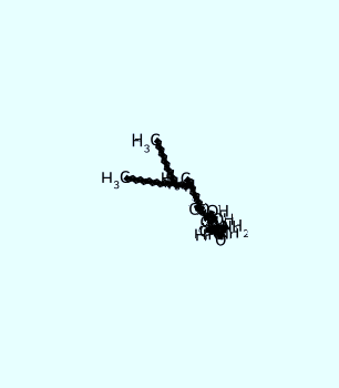 CCCCCCCCCCCCN(CCCCCCCCCCCC)CCCN(CC)CCCCCC(=O)OC[C@@H]1O[C@H](n2c(=O)[nH]c3c(=O)[nH]c(N)nc32)C(O)C1O